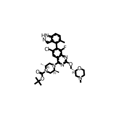 Cc1ccc2[nH]ncc2c1-c1c(Cl)cc2c(N3C[C@@H](C)N(C(=O)OC(C)(C)C)C[C@@H]3C)nc(OC[C@H]3CN(C)CCO3)nc2c1F